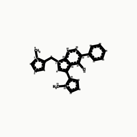 Cn1cncc1Cn1nc(-c2cccn2C)c2c(Cl)c(-c3ccccc3)nnc21